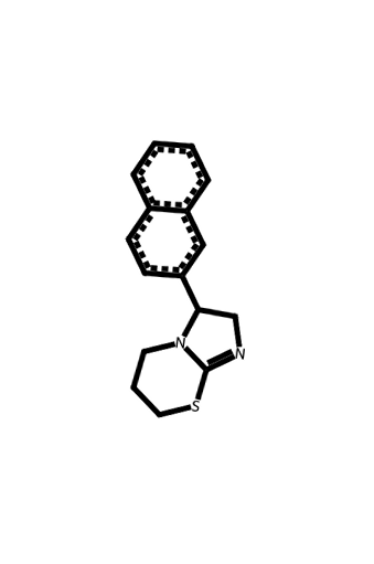 c1ccc2cc(C3CN=C4SCCCN43)ccc2c1